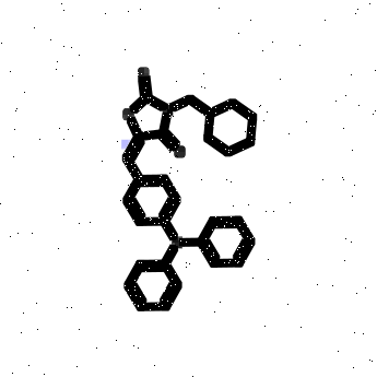 O=C1O/C(=C/c2ccc(N(c3ccccc3)c3ccccc3)cc2)C(=O)N1CC1CCCCC1